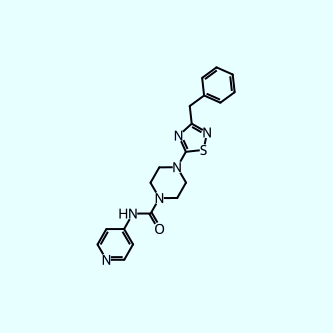 O=C(Nc1ccncc1)N1CCN(c2nc(Cc3ccccc3)ns2)CC1